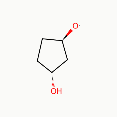 [O][C@@H]1CC[C@@H](O)C1